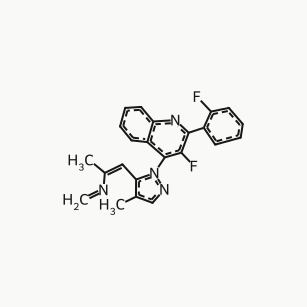 C=N/C(C)=C\c1c(C)cnn1-c1c(F)c(-c2ccccc2F)nc2ccccc12